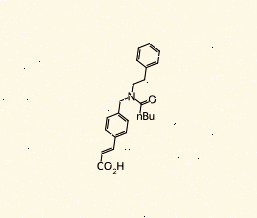 CCCCC(=O)N(CCc1ccccc1)Cc1ccc(/C=C/C(=O)O)cc1